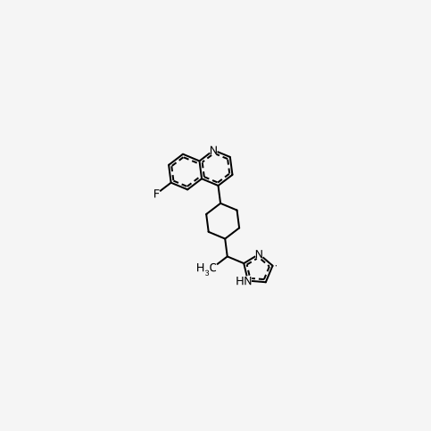 CC(c1n[c]c[nH]1)C1CCC(c2ccnc3ccc(F)cc23)CC1